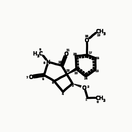 CCO[C@@H]1CC2C(=O)N(C)C(=O)[C@@]21c1cccc(OC)c1